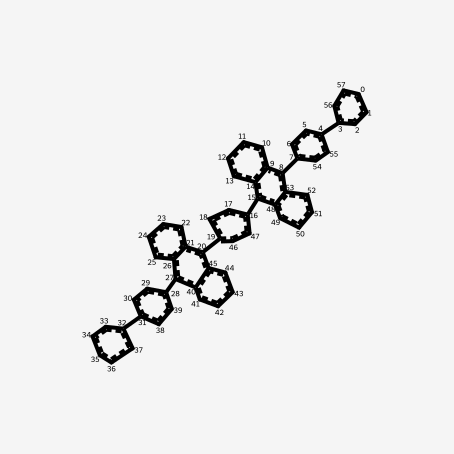 c1ccc(-c2ccc(-c3c4ccccc4c(-c4ccc(-c5c6ccccc6c(-c6ccc(-c7ccccc7)cc6)c6ccccc56)cc4)c4ccccc34)cc2)cc1